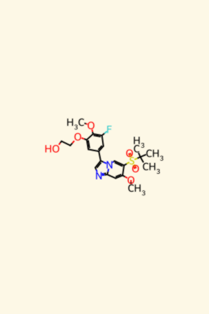 COc1cc2ncc(-c3cc(F)c(OC)c(OCCO)c3)n2cc1S(=O)(=O)C(C)(C)C